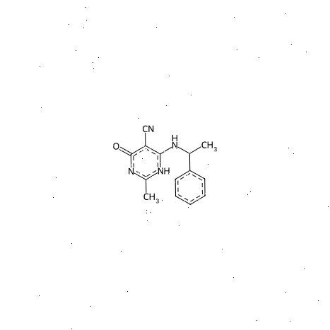 Cc1nc(=O)c(C#N)c(NC(C)c2ccccc2)[nH]1